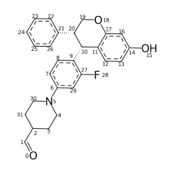 O=CC1CCN(c2ccc([C@H]3c4ccc(O)cc4OC[C@H]3c3ccccc3)c(F)c2)CC1